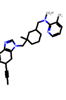 CC#CC1C=Cc2ncn(CC3(C)CCCC(CN(C(=O)O)c4ncccc4C(F)(F)F)C3)c2C1